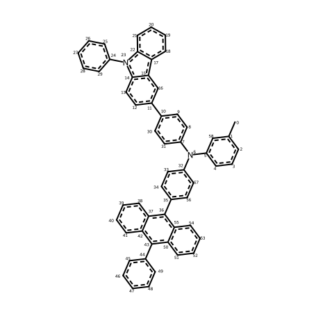 Cc1cccc(N(c2ccc(-c3ccc4c(c3)c3ccccc3n4-c3ccccc3)cc2)c2ccc(-c3c4ccccc4c(-c4ccccc4)c4ccccc34)cc2)c1